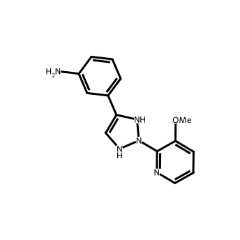 COc1cccnc1N1NC=C(c2cccc(N)c2)N1